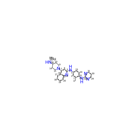 Cc1cc(Nc2cc(N3CCC(NC(C)(C)C)CC3)c3ccccc3n2)ccc1Nc1ncccn1